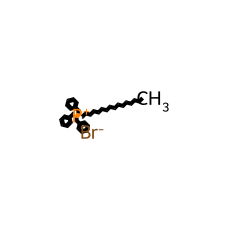 CCCCCCCCCCCCCCCC[P+](Cc1ccccc1)(Cc1ccccc1)Cc1ccccc1.[Br-]